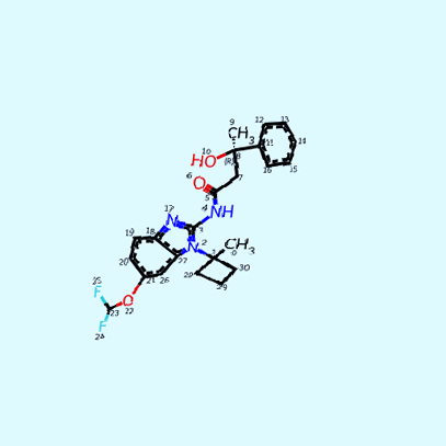 CC1(n2c(NC(=O)C[C@@](C)(O)c3ccccc3)nc3ccc(OC(F)F)cc32)CCC1